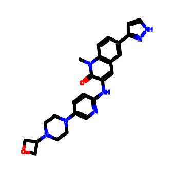 Cn1c(=O)c(Nc2ccc(N3CCN(C4COC4)CC3)cn2)cc2cc(-c3cc[nH]n3)ccc21